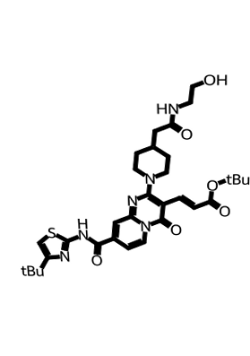 CC(C)(C)OC(=O)C=Cc1c(N2CCC(CC(=O)NCCO)CC2)nc2cc(C(=O)Nc3nc(C(C)(C)C)cs3)ccn2c1=O